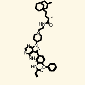 C=CC(=O)Nc1cc(-c2nn(C3CCN(CCNC(=O)[C@@H](C)CCC45CCCC(CC(C)C4)C5)CC3)c3ncnc(N)c23)ccc1Oc1ccccc1